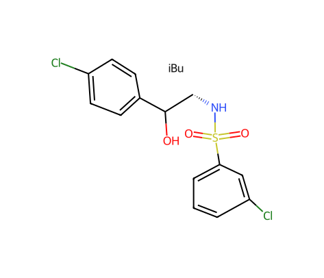 CC[C@H](C)[C@H](NS(=O)(=O)c1cccc(Cl)c1)C(O)c1ccc(Cl)cc1